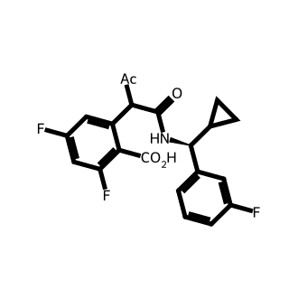 CC(=O)C(C(=O)N[C@H](c1cccc(F)c1)C1CC1)c1cc(F)cc(F)c1C(=O)O